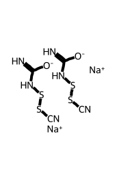 N#CSSNC(=N)[O-].N#CSSNC(=N)[O-].[Na+].[Na+]